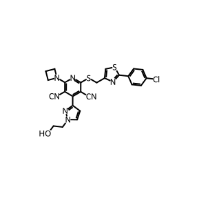 [C-]#[N+]c1c(N2CCC2)nc(SCc2csc(-c3ccc(Cl)cc3)n2)c(C#N)c1-c1ccn(CCO)n1